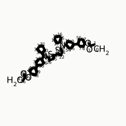 C=CC(=O)Oc1ccc(-c2ccc(N(c3ccccc3)c3ccc(-c4ccc(N(c5ccccc5)c5ccc(-c6ccc(OC(=O)C=C)cc6)cc5)s4)s3)cc2)cc1